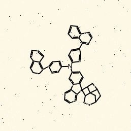 C1=c2ccccc2=C(c2ccc(N(c3ccc(-c4cccc5ccccc45)cc3)c3ccc4c(c3)-c3ccccc3C43C4CCC5CC6CC3C64C5)cc2)CC1